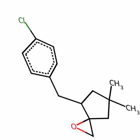 CC1(C)CC(Cc2ccc(Cl)cc2)C2(CO2)C1